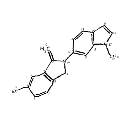 C=C1c2cc(CC)ccc2CN1c1ccc2ccn(C)c2c1